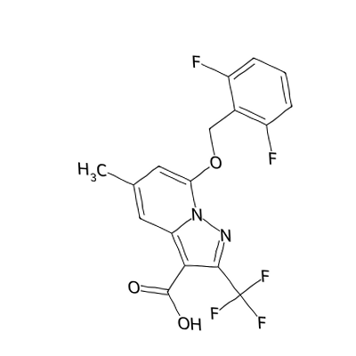 Cc1cc(OCc2c(F)cccc2F)n2nc(C(F)(F)F)c(C(=O)O)c2c1